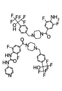 Nc1c(F)cc(C(=O)N2CCN(Cc3ccc(C(O)(C(F)(F)F)C(F)(F)F)cc3)CC2)cc1F.O=C(Nc1ccncc1)Nc1c(F)cc(C(=O)N2CCN(Cc3ccc(C(O)(C(F)(F)F)C(F)(F)F)cc3)CC2)cc1F